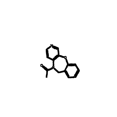 CC(=O)N1Cc2ccccc2Oc2cnccc21